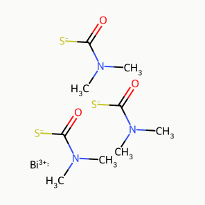 CN(C)C(=O)[S-].CN(C)C(=O)[S-].CN(C)C(=O)[S-].[Bi+3]